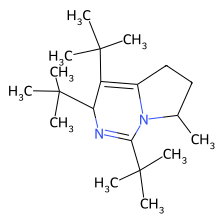 CC1CCC2=C(C(C)(C)C)C(C(C)(C)C)N=C(C(C)(C)C)N21